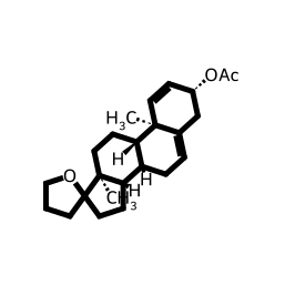 CC(=O)O[C@H]1C=C[C@@]2(C)C(=CC[C@@H]3[C@@H]2CC[C@@]2(C)[C@H]3CCC23CCCO3)C1